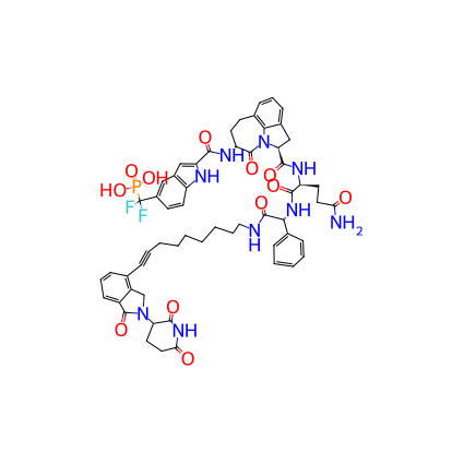 NC(=O)CC[C@H](NC(=O)[C@@H]1Cc2cccc3c2N1C(=O)[C@@H](NC(=O)c1cc2cc(C(F)(F)P(=O)(O)O)ccc2[nH]1)CC3)C(=O)N[C@@H](C(=O)NCCCCCCCC#Cc1cccc2c1CN(C1CCC(=O)NC1=O)C2=O)c1ccccc1